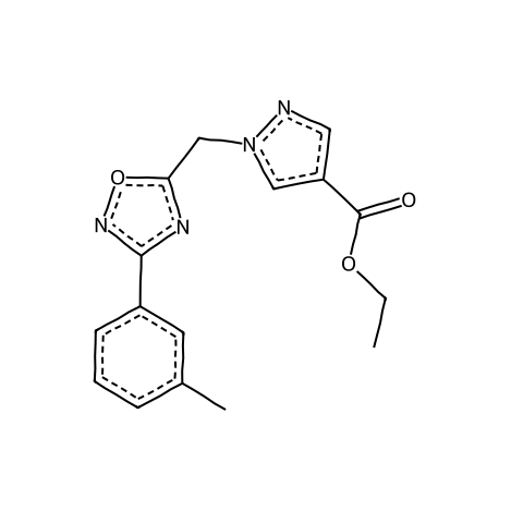 CCOC(=O)c1cnn(Cc2nc(-c3cccc(C)c3)no2)c1